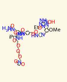 CCOc1nc(N)c2nc(O)n(Cc3ccc(CN4CCC(NC(=O)OCc5ccc(NC(=O)[C@H](CCCNC(N)=O)NC(=O)[C@@H](NC(=O)CCOCCOCCOCCN6C(=O)C=CC6=O)C(C)C)cc5)CC4)cc3OC)c2n1